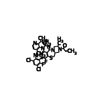 C=CC(=O)N1CC2CSc3c(F)c(-c4c(N)c(Cl)cc(Cl)c4F)nc4c3c(nc(=O)n4-c3c(C)ccnc3C(C)C)N2CC1C